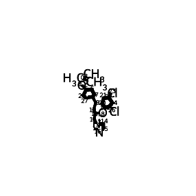 CC(C)(C)Oc1ccc(CCC(Cn2ccnc2)Oc2ccc(Cl)cc2Cl)cc1